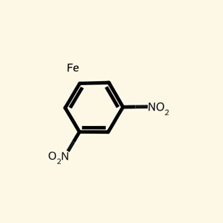 O=[N+]([O-])c1cccc([N+](=O)[O-])c1.[Fe]